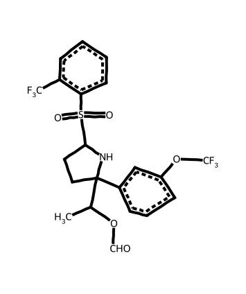 CC(OC=O)C1(c2cccc(OC(F)(F)F)c2)CCC(S(=O)(=O)c2ccccc2C(F)(F)F)N1